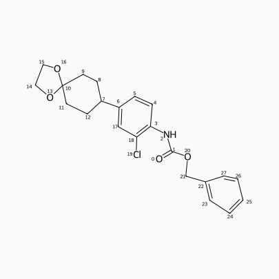 O=C(Nc1ccc(C2CCC3(CC2)OCCO3)cc1Cl)OCc1ccccc1